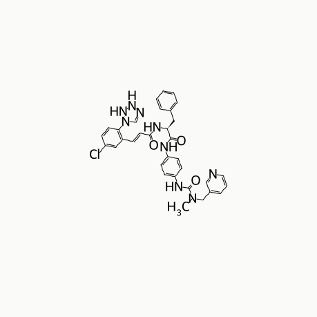 CN(Cc1cccnc1)C(=O)Nc1ccc(NC(=O)[C@H](Cc2ccccc2)NC(=O)/C=C/c2cc(Cl)ccc2N2C=NNN2)cc1